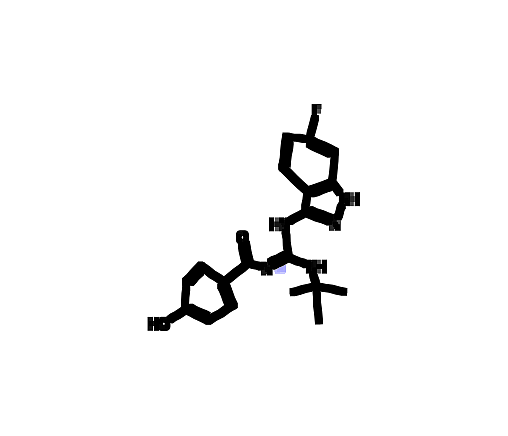 CC(C)(C)N/C(=N/C(=O)c1ccc(O)cc1)Nc1n[nH]c2cc(F)ccc12